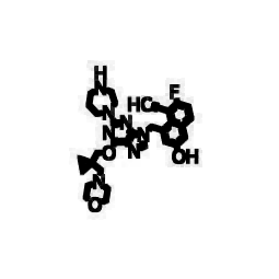 C#Cc1c(F)ccc2cc(O)cc(Cn3cnc4c(OCC5(CN6CCOCC6)CC5)nc(N5CCCNCC5)nc43)c12